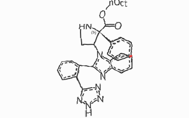 CCCCCCCCOC(=O)[C@@]1(c2ccccc2)NCCC1n1c(-c2ccccc2-c2nn[nH]n2)nc2ccccc21